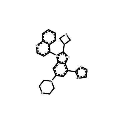 c1ccc2c(-n3c(C4COC4)nc4c(-c5nnc[nH]5)cc(N5CCOCC5)cc43)ccnc2c1